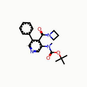 CN(C(=O)OC(C)(C)C)c1cn[c]c(-c2ccccc2)c1C(=O)N1CCC1